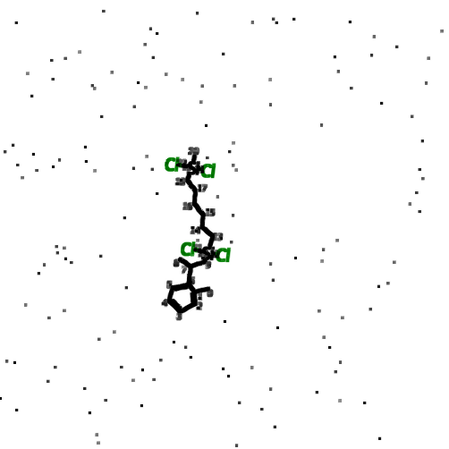 Cc1ccccc1C(C)C[Si](Cl)(Cl)CCCCCC[Si](C)(Cl)Cl